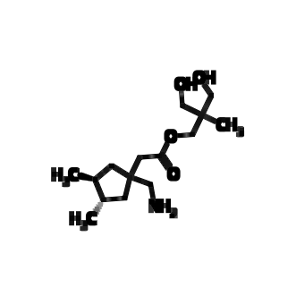 C[C@H]1CC(CN)(CC(=O)OCC(C)(CO)CO)C[C@@H]1C